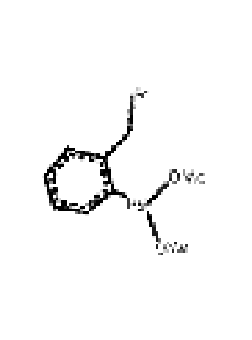 CO[SiH](OC)c1ccccc1CC(C)C